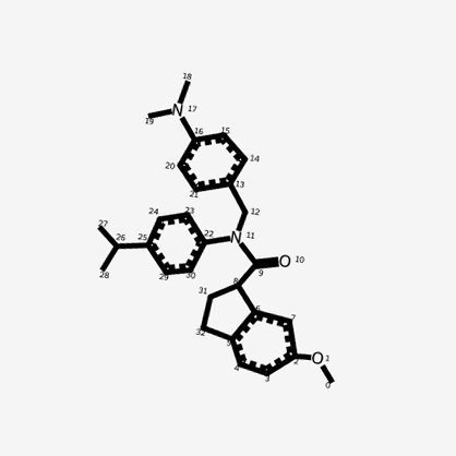 COc1ccc2c(c1)C(C(=O)N(Cc1ccc(N(C)C)cc1)c1ccc(C(C)C)cc1)CC2